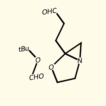 CC(C)(C)OC=O.O=CCCC12CN1CCO2